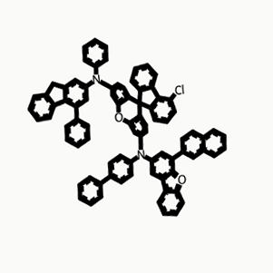 Clc1cccc2c1-c1ccccc1C21c2ccc(N(c3ccccc3)c3cc4c(c(-c5ccccc5)c3)-c3ccccc3C4)cc2Oc2cc(N(c3ccc(-c4ccccc4)cc3)c3cc(-c4ccc5ccccc5c4)c4oc5ccccc5c4c3)ccc21